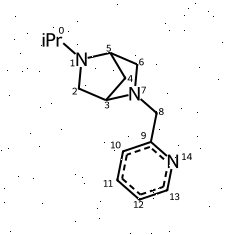 CC(C)N1CC2CC1CN2Cc1ccccn1